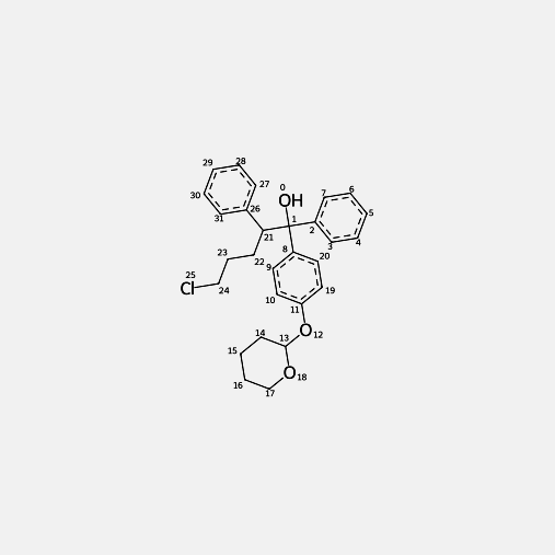 OC(c1ccccc1)(c1ccc(OC2CCCCO2)cc1)C(CCCCl)c1ccccc1